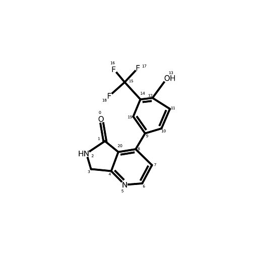 O=C1NCc2nccc(-c3ccc(O)c(C(F)(F)F)c3)c21